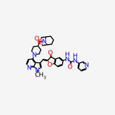 Cn1cc(/C=C2\Oc3ccc(NC(=O)Nc4cccnc4)cc3C2=O)c2c(N3CCC(C(=O)N4C5CCCC4COC5)CC3)ccnc21